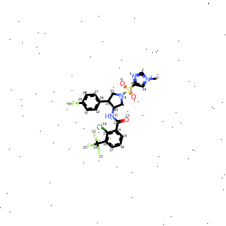 Cn1cnc(S(=O)(=O)N2CC(NC(=O)c3cccc(C(F)(F)F)c3Cl)C(c3ccc(F)cc3)C2)c1